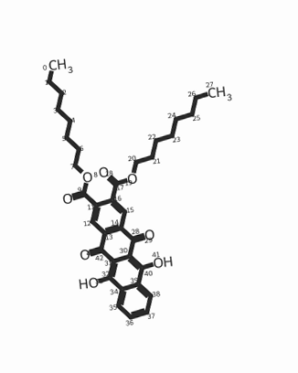 CCCCCCCCOC(=O)c1cc2c(cc1C(=O)OCCCCCCCC)C(=O)c1c(c(O)c3ccccc3c1O)C2=O